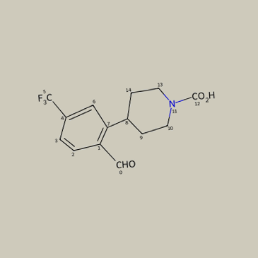 O=Cc1ccc(C(F)(F)F)cc1C1CCN(C(=O)O)CC1